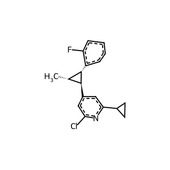 C[C@H]1[C@H](c2cc(Cl)nc(C3CC3)c2)[C@H]1c1ccccc1F